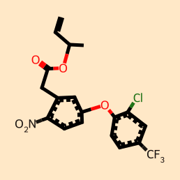 C=CC(C)OC(=O)Cc1cc(Oc2ccc(C(F)(F)F)cc2Cl)ccc1[N+](=O)[O-]